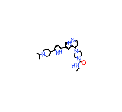 CCNC(=O)N1CCN(c2ccnn3cc(-c4ccc(C5CCN(C(C)C)CC5)nn4)cc23)CC1